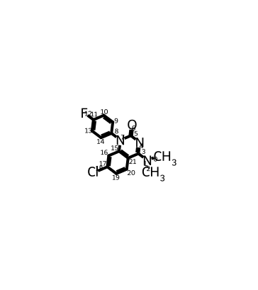 CN(C)c1nc(=O)n(-c2ccc(F)cc2)c2cc(Cl)ccc12